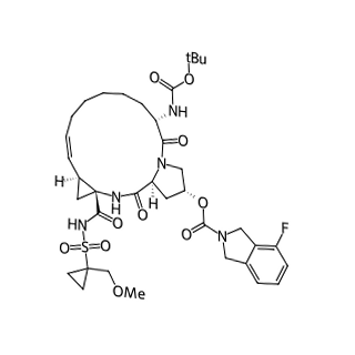 COCC1(S(=O)(=O)NC(=O)[C@@]23C[C@H]2/C=C\CCCCC[C@H](NC(=O)OC(C)(C)C)C(=O)N2C[C@H](OC(=O)N4Cc5cccc(F)c5C4)C[C@H]2C(=O)N3)CC1